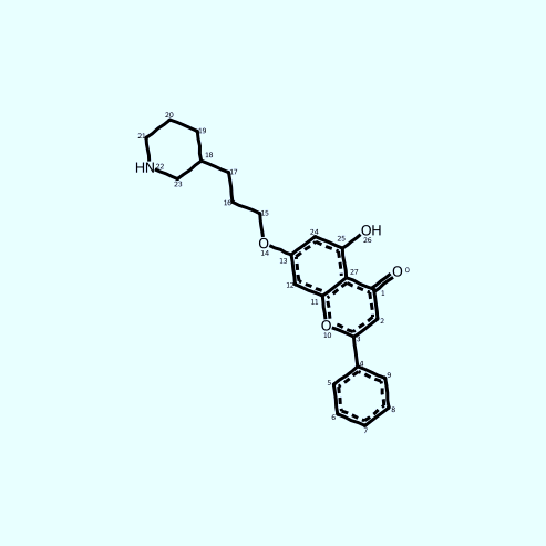 O=c1cc(-c2ccccc2)oc2cc(OCCCC3CCCNC3)cc(O)c12